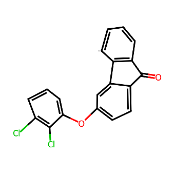 O=C1c2ccc[c]c2-c2cc(Oc3cccc(Cl)c3Cl)ccc21